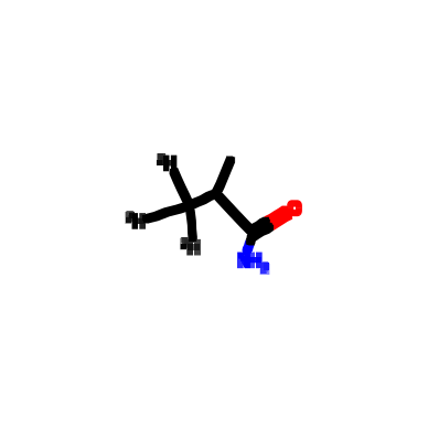 [2H]C([2H])([2H])C(C)C(N)=O